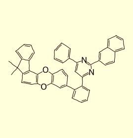 CC1(C)c2ccccc2-c2c1ccc1c2Oc2ccc(-c3ccccc3-c3cc(-c4ccccc4)nc(-c4ccc5ccccc5c4)n3)cc2O1